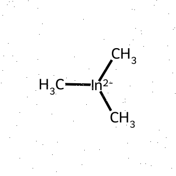 [CH3][In-2]([CH3])[CH3]